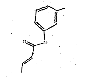 C/C=C/C(=O)[N]c1cccc(C)c1